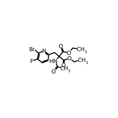 CCOC(=O)C(Cc1ccc(F)c(Br)n1)(NC(C)=O)C(=O)OCC